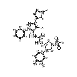 Cc1c(-c2cnn(C)c2)nn(-c2ccccc2)c1NC(=O)N[C@@H]1CN(S(C)(=O)=O)C[C@H]1c1ccc(F)c(F)c1